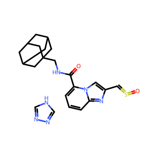 O=S=Cc1cn2c(C(=O)NCC34CC5CC(CC(C5)C3)C4)cccc2n1.c1nnc[nH]1